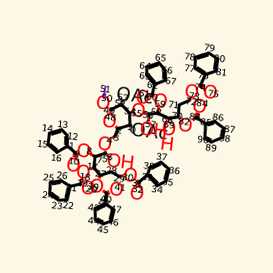 CC(=O)OC1C(COC(O)C(OC(=O)c2ccccc2)C(OC(=O)c2ccccc2)C(CCOC(=O)c2ccccc2)OC(=O)c2ccccc2)OC(OI)C(OC(C)=O)C1OC(O)C(OC(=O)c1ccccc1)C(O)C(CCOC(=O)c1ccccc1)OC(=O)c1ccccc1